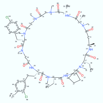 CC[C@H](C)[C@@H]1NC(=O)[C@H](C(C)C)N(C)C(=O)C[C@@H](C)NC(=O)[C@H](CC(C)C)N(C)C(=O)C2(CCCC2)NC(=O)[C@H](CC(C)C)N(C)C(=O)[C@H](CCc2ccc(C(F)(F)F)c(Cl)c2)NC(=O)CN(C)C(=O)[C@H](Cc2ccc(Cl)cc2)N(C)C(=O)CN(C)C(=O)CN(C)C1=O